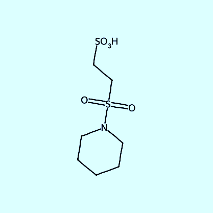 O=S(=O)(O)CCS(=O)(=O)N1CCCCC1